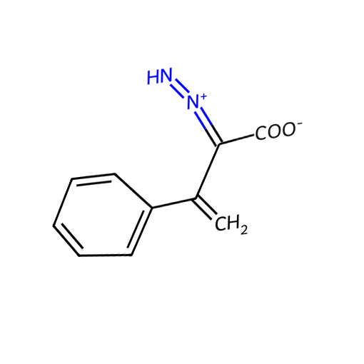 C=C(C(=[N+]=N)C(=O)[O-])c1ccccc1